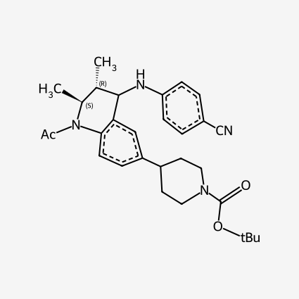 CC(=O)N1c2ccc(C3CCN(C(=O)OC(C)(C)C)CC3)cc2C(Nc2ccc(C#N)cc2)[C@@H](C)[C@@H]1C